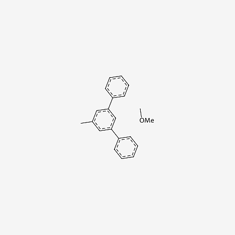 COC.Cc1cc(-c2ccccc2)cc(-c2ccccc2)c1